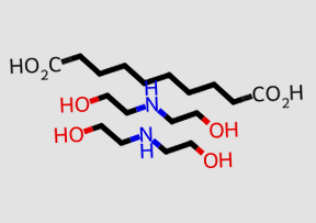 O=C(O)CCCCCCCCC(=O)O.OCCNCCO.OCCNCCO